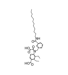 CCCCCCCCCCCCNC(=O)c1cccc(CN(C(=O)C(=O)O)c2ccc(C(=O)O)c(CC)c2CC)c1